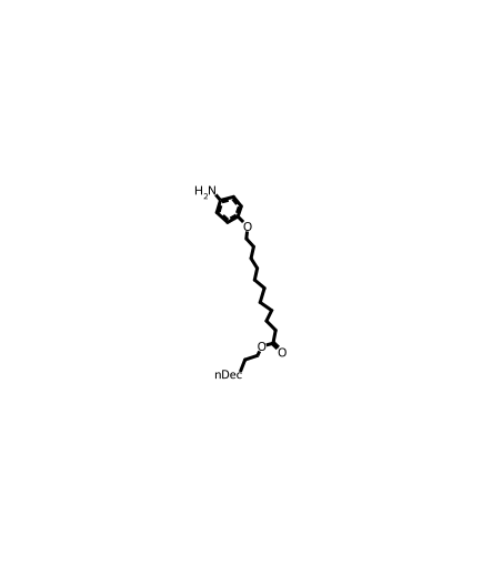 CCCCCCCCCCCCOC(=O)CCCCCCCCCCOc1ccc(N)cc1